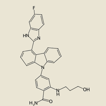 NC(=O)c1ccc(-n2c3ccccc3c3c(-c4nc5ccc(F)cc5[nH]4)cccc32)cc1NCCCO